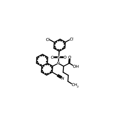 CCCCC(C(=O)O)N(c1c(C#N)ccc2ccccc12)S(=O)(=O)c1cc(Cl)cc(Cl)c1